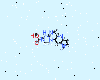 C[C@H](N)c1nc2ccn(C)c2cc1N1CCN(C(=O)O)CC1